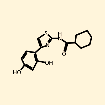 O=C(Nc1nc(-c2ccc(O)cc2O)cs1)C1CCCCC1